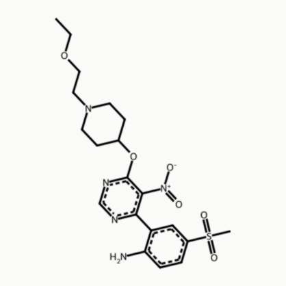 CCOCCN1CCC(Oc2ncnc(-c3cc(S(C)(=O)=O)ccc3N)c2[N+](=O)[O-])CC1